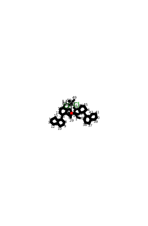 CCCC1=Cc2c(-c3cccc4ccccc34)ccc(C)c2[CH]1[Zr]([Cl])([Cl])([CH]1C(C(C)C)=Cc2c(-c3cccc4ccccc34)cccc21)[SiH](C)C